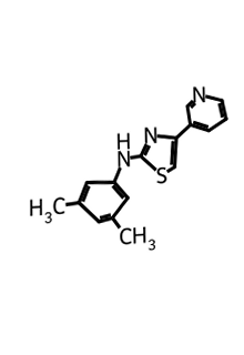 Cc1cc(C)cc(Nc2nc(-c3cccnc3)cs2)c1